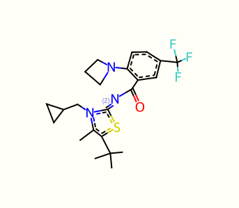 Cc1c(C(C)(C)C)s/c(=N\C(=O)c2cc(C(F)(F)F)ccc2N2CCC2)n1CC1CC1